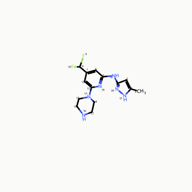 Cc1cc(Nc2cc(C(F)F)cc(N3CCNCC3)n2)n[nH]1